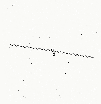 CCCCCCCCC=CCCCCCCCCCC(=O)OCCCCCCCCCCCCCCCCCCCC